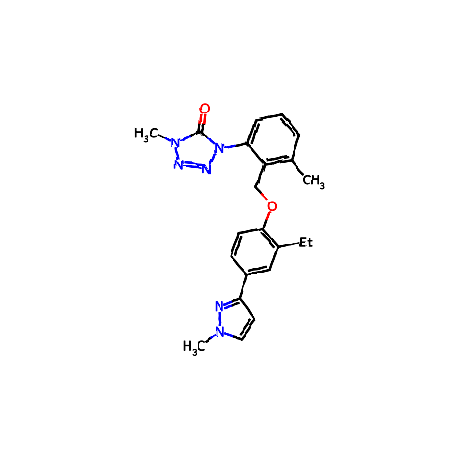 CCc1cc(-c2ccn(C)n2)ccc1OCc1c(C)cccc1-n1nnn(C)c1=O